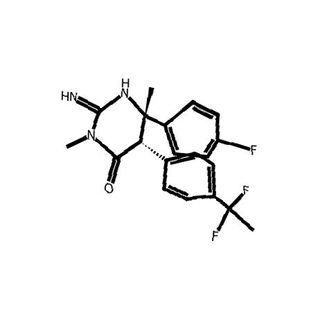 CN1C(=N)N[C@](C)(c2ccc(F)cc2)[C@H](c2ccc(C(C)(F)F)cc2)C1=O